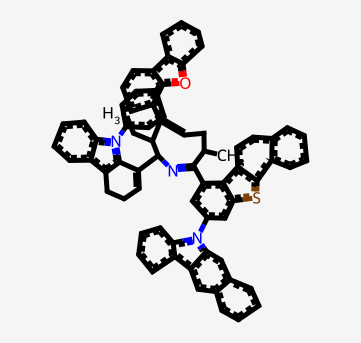 CCC1/C(c2cccc3c2oc2ccccc23)=C/CC(C)/C(c2cc(-n3c4ccccc4c4cc5ccccc5cc43)cc3sc4c5ccccc5ccc4c23)=N\C1C1=CCCc2c1n(-c1ccccc1)c1ccccc21